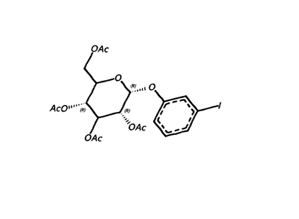 CC(=O)OCC1O[C@H](Oc2cccc(I)c2)[C@H](OC(C)=O)C(OC(C)=O)[C@@H]1OC(C)=O